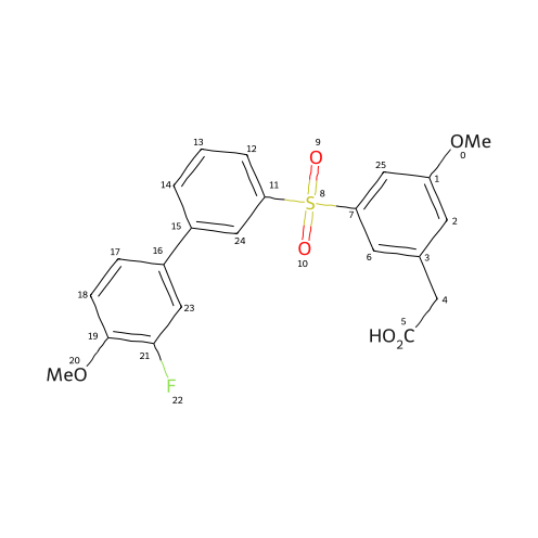 COc1cc(CC(=O)O)cc(S(=O)(=O)c2cccc(-c3ccc(OC)c(F)c3)c2)c1